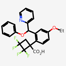 CCOc1ccc(C2(C(=O)O)CC(F)(F)C2(F)F)c(C(Oc2ccccc2)c2ccccn2)c1